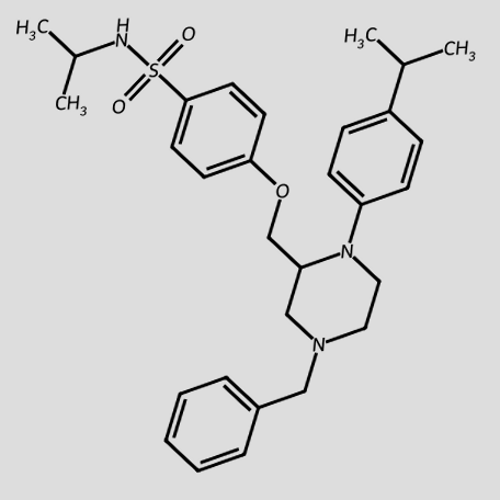 CC(C)NS(=O)(=O)c1ccc(OCC2CN(Cc3ccccc3)CCN2c2ccc(C(C)C)cc2)cc1